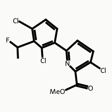 COC(=O)c1nc(-c2ccc(Cl)c(C(C)F)c2Cl)ccc1Cl